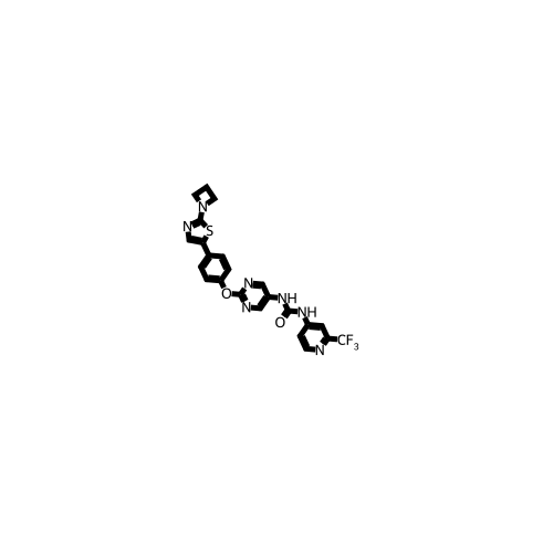 O=C(Nc1cnc(Oc2ccc(-c3cnc(N4CCC4)s3)cc2)nc1)Nc1ccnc(C(F)(F)F)c1